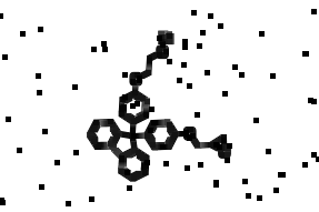 CCOCCOc1ccc(C2(c3ccc(OCC4CO4)cc3)c3ccccc3-c3ccccc32)cc1